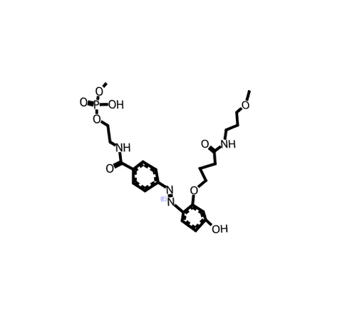 COCCCNC(=O)CCCOc1cc(O)ccc1/N=N/c1ccc(C(=O)NCCOP(=O)(O)OC)cc1